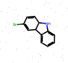 BrC1=CC2c3ccccc3NC2C=C1